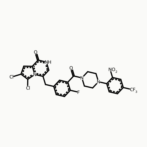 O=C(c1cc(Cc2c[nH]c(=O)c3cc(Cl)c(Cl)n23)ccc1F)N1CCN(c2ccc(C(F)(F)F)cc2[N+](=O)[O-])CC1